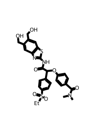 CCS(=O)(=O)c1ccc(C(Oc2ccc(C(=O)N(C)C)cc2)C(=O)Nc2nc3cc(CO)c(CO)cc3s2)cc1